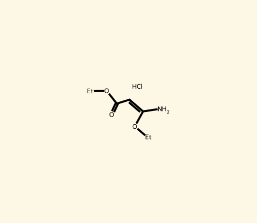 CCOC(=O)/C=C(/N)OCC.Cl